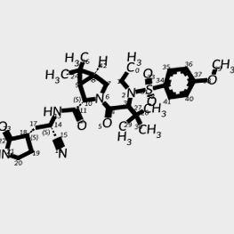 CCN(C(C(=O)N1C[C@H]2C([C@H]1C(=O)N[C@H](C#N)C[C@@H]1CCNC1=O)C2(C)C)C(C)(C)C)S(=O)(=O)c1ccc(OC)cc1